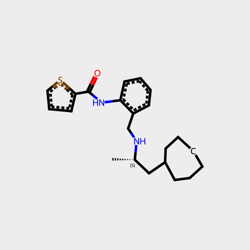 C[C@@H](CC1CCCCCC1)NCc1ccccc1NC(=O)c1cccs1